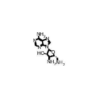 NC[C@H]1O[C@@H](n2cnc3c(N)ncnc32)[C@H](O)C1N